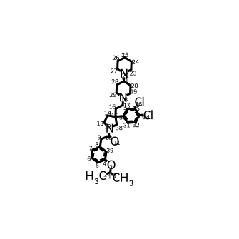 CC(C)Oc1cccc(CC(=O)N2CCC(CCN3CCC(N4CCCCC4)CC3)(c3ccc(Cl)c(Cl)c3)C2)c1